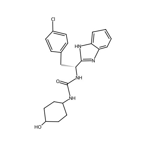 O=C(NC1CCC(O)CC1)N[C@H](Cc1ccc(Cl)cc1)c1nc2ccccc2[nH]1